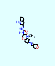 CN1C(=O)[C@@H](NC(=O)N/C=C(\C=N)Cc2ccccc2)COc2ccc(N3CC4(CCOCC4)C3)cc21